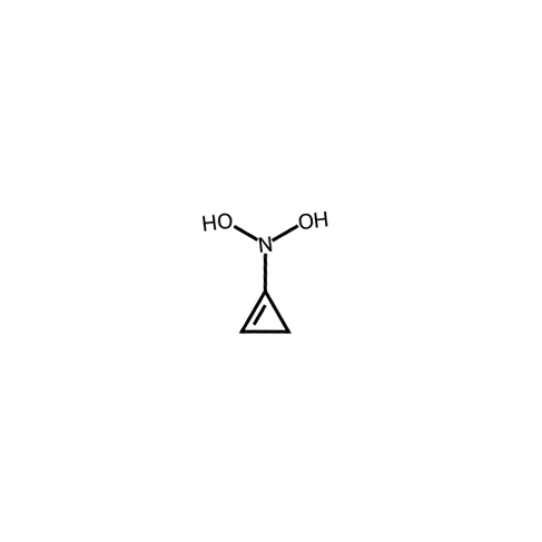 ON(O)C1=CC1